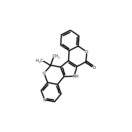 CC1(C)Oc2cnccc2-c2[nH]c3c(=O)oc4ccccc4c3c21